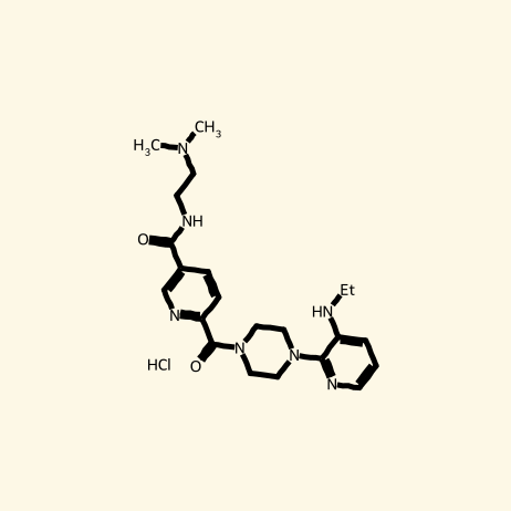 CCNc1cccnc1N1CCN(C(=O)c2ccc(C(=O)NCCN(C)C)cn2)CC1.Cl